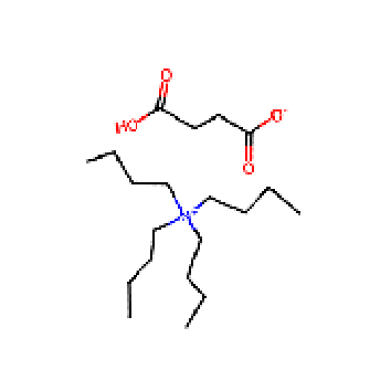 CCCC[N+](CCCC)(CCCC)CCCC.O=C([O-])CCC(=O)O